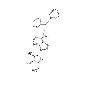 OC[C@H]1O[C@@H](n2cnc3c(NCCC(c4ccccc4)c4ccccc4)ncnc32)[C@H](O)[C@@H]1O